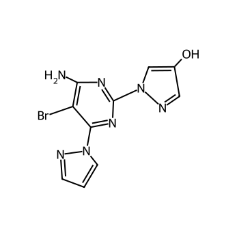 Nc1nc(-n2cc(O)cn2)nc(-n2cccn2)c1Br